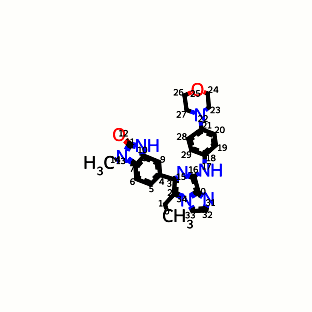 CCc1c(-c2ccc3c(c2)[nH]c(=O)n3C)nc(Nc2ccc(N3CCOCC3)cc2)c2nccn12